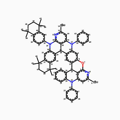 CC(C)(C)c1cc2c3c(n1)Oc1cc4c(cc1B3c1ccccc1N2c1ccccc1)B1c2cc3c(cc2N(c2ccc5c(c2)C(C)(C)CCC5(C)C)c2nc(C(C)(C)C)cc(c21)N4c1ccccc1)C(C)(C)CCC3(C)C